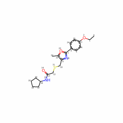 CCOc1ccc(-c2nc(CSCC(=O)NC3CCCC3)c(C)o2)cc1